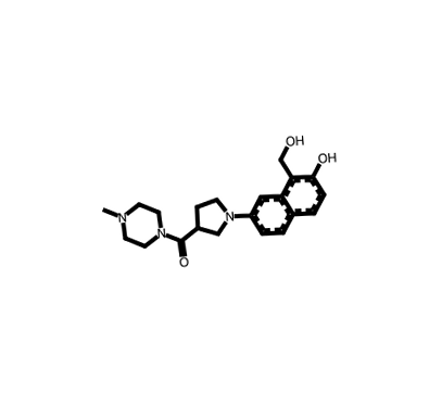 CN1CCN(C(=O)C2CCN(c3ccc4ccc(O)c(CO)c4c3)C2)CC1